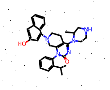 CC(C)c1ccccc1-n1c2c(c(N3CCNCC3C)nc1=O)CCN(c1cc(O)cc3ccccc13)C2